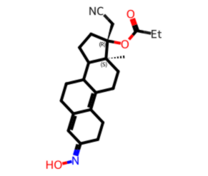 CCC(=O)O[C@@]1(CC#N)CCC2C3CCC4=CC(=NO)CCC4=C3CC[C@@]21C